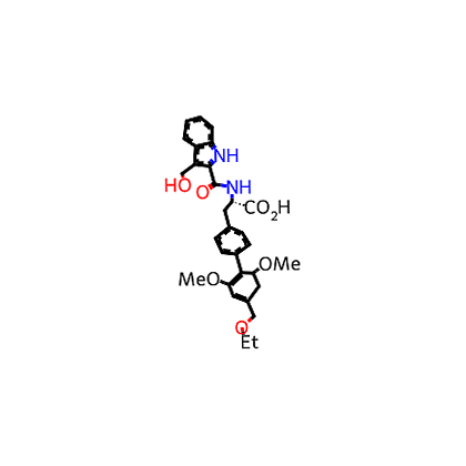 CCOCC1=CC(OC)=C(c2ccc(C[C@H](NC(=O)c3[nH]c4ccccc4c3CO)C(=O)O)cc2)C(OC)C1